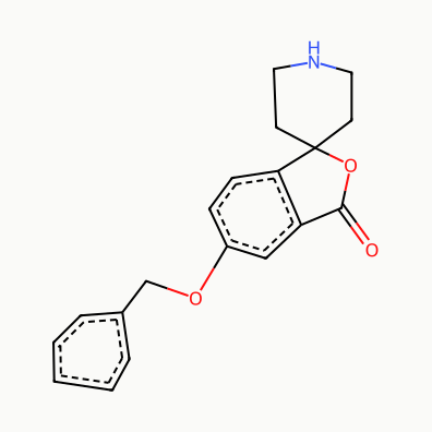 O=C1OC2(CCNCC2)c2ccc(OCc3ccccc3)cc21